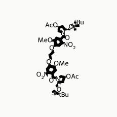 COc1cc(C(=O)N2C[C@H](OC(C)=O)C[C@H]2CO[Si](C)(C)C(C)(C)C)c([N+](=O)[O-])cc1OCCCOc1cc([N+](=O)[O-])c(C(=O)N2C[C@H](OC(C)=O)C[C@H]2CO[Si](C)(C)C(C)(C)C)cc1OC